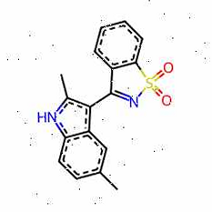 Cc1ccc2[nH]c(C)c(C3=NS(=O)(=O)c4ccccc43)c2c1